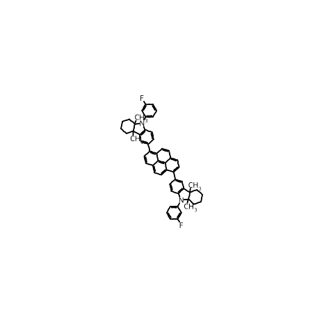 CC12CCCCC1(C)N(c1cccc(F)c1)c1ccc(-c3ccc4ccc5c(-c6ccc7c(c6)C6(C)CCCCC6(C)N7c6cccc(F)c6)ccc6ccc3c4c65)cc12